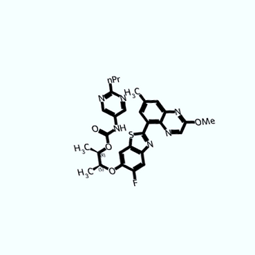 CCCc1ncc(NC(=O)O[C@H](C)[C@H](C)Oc2cc3sc(-c4cc(C)cc5nc(OC)cnc45)nc3cc2F)cn1